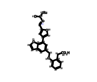 CC(C)(C)[S+]([O-])/N=C/c1cc(-c2cc(COc3ccccc3CC(=O)O)cc3ccoc23)co1